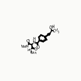 CNC(=O)C(NC(=O)c1ccc(C#CC(C)O)cc1)C(=O)NO